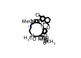 CO[C@H]1/C=C/CCN(C)C(=O)C[C@](C)(C(=O)NS(C)(=O)=O)c2ccc3c(c2)N(C[C@@H]2CC[C@H]21)C[C@@]1(CCCc2cc(Cl)ccc21)CO3